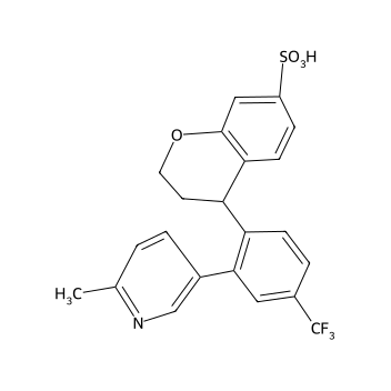 Cc1ccc(-c2cc(C(F)(F)F)ccc2C2CCOc3cc(S(=O)(=O)O)ccc32)cn1